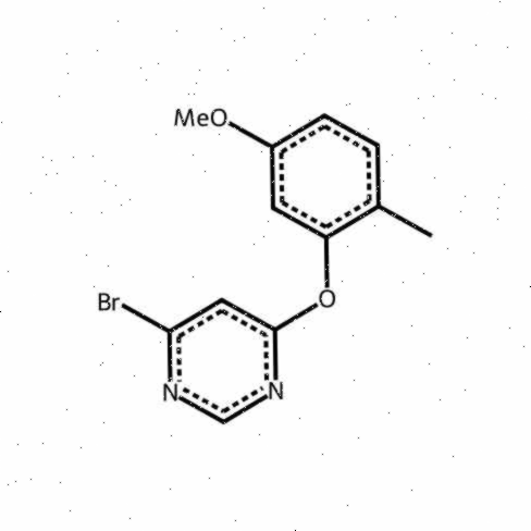 COc1ccc(C)c(Oc2cc(Br)ncn2)c1